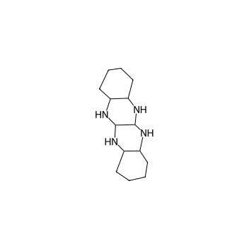 C1CCC2NC3NC4CCCCC4NC3NC2C1